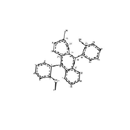 COc1ccccc1-c1c2ccccc2c(-c2ccccc2C)c2cc(C)ccc12